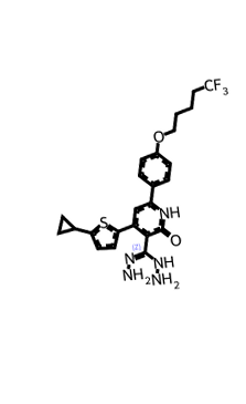 N/N=C(\NN)c1c(-c2ccc(C3CC3)s2)cc(-c2ccc(OCCCCC(F)(F)F)cc2)[nH]c1=O